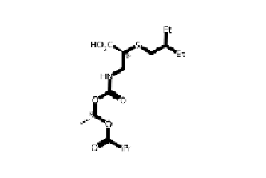 CCC(CC)CS[C@@H](CNC(=O)O[C@@H](C)OC(=O)C(C)C)C(=O)O